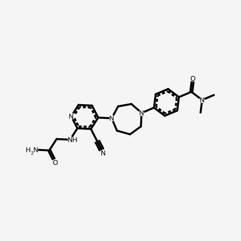 CN(C)C(=O)c1ccc(N2CCCN(c3ccnc(NCC(N)=O)c3C#N)CC2)cc1